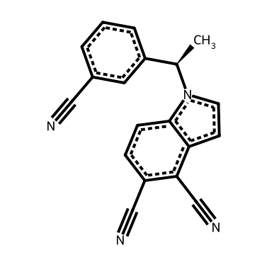 C[C@H](c1cccc(C#N)c1)n1ccc2c(C#N)c(C#N)ccc21